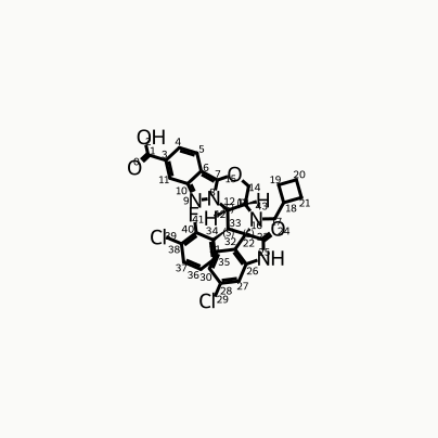 O=C(O)c1ccc2c3n(nc2c1)[C@@H]1[C@H](CO3)N(CC2CCC2)[C@@]2(C(=O)Nc3cc(Cl)ccc32)[C@H]1c1cccc(Cl)c1F